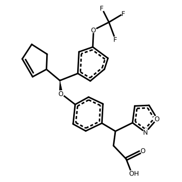 O=C(O)CC(c1ccc(O[C@H](c2cccc(OC(F)(F)F)c2)C2C=CCC2)cc1)c1ccon1